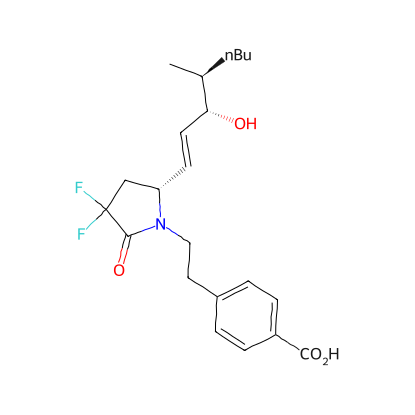 CCCC[C@H](C)[C@H](O)/C=C/[C@H]1CC(F)(F)C(=O)N1CCc1ccc(C(=O)O)cc1